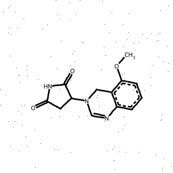 COc1cccc2c1CN(C1CC(=O)NC1=O)C=N2